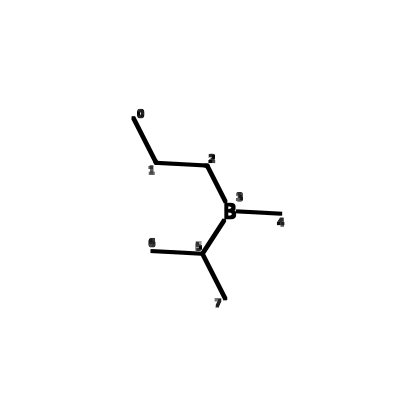 CCCB(C)C(C)C